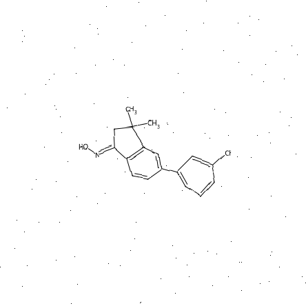 CC1(C)CC(=NO)c2ccc(-c3cccc(Cl)c3)cc21